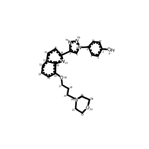 Oc1ccc(-n2cc(-c3ccc4cccc(OCCCN5CCOCC5)c4n3)nn2)cc1